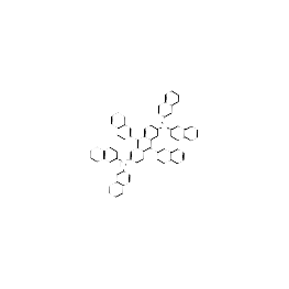 C1=Cc2cc(N(c3ccc4c(c3)CCC=C4)c3ccc4c(-c5ccc6ccccc6c5)c5cc(N(c6ccc7ccccc7c6)c6ccc7ccccc7c6)ccc5c(-c5ccc6c(c5)CCC=C6)c4c3)ccc2CC1